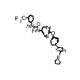 O=C(Nc1cnc(Oc2ccc(-c3cnc(N4CCCC4)s3)cc2)nc1)Nc1cccc(C(F)(F)F)c1